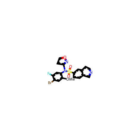 COc1cc(Br)c(F)cc1N(c1ccon1)S(=O)(=O)c1ccc2cnccc2c1